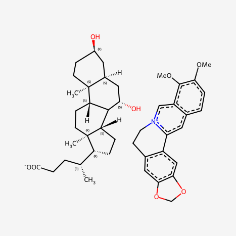 COc1ccc2cc3[n+](cc2c1OC)CCc1cc2c(cc1-3)OCO2.C[C@H](CCC(=O)[O-])[C@H]1CC[C@H]2C3[C@@H](O)C[C@@H]4C[C@H](O)CC[C@]4(C)[C@H]3CC[C@]12C